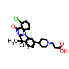 CC1(C)c2ccc(C3CCN(CCC(=O)O)CC3)cc2-n2c1nc(=O)c1c(Cl)cccc12